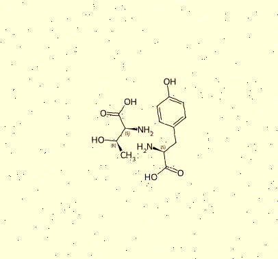 C[C@@H](O)[C@H](N)C(=O)O.N[C@@H](Cc1ccc(O)cc1)C(=O)O